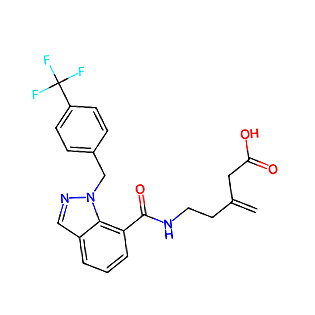 C=C(CCNC(=O)c1cccc2cnn(Cc3ccc(C(F)(F)F)cc3)c12)CC(=O)O